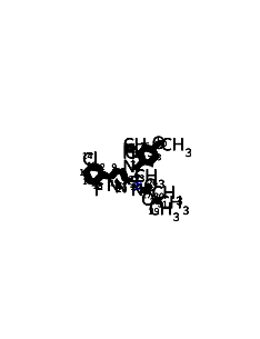 COc1ccc(CNc2cc(-c3cc(Cl)ccc3F)nnc2/S(C)=N/C(=O)OC(C)(C)C)c(OC)c1